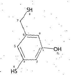 Oc1cc(S)cc(CS)c1